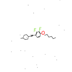 CCCCCCOc1ccc(C#CC2CCC(C)CC2)c(F)c1F